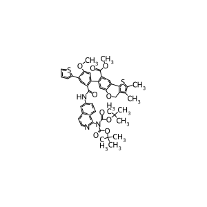 COC(=O)c1cc2c(cc1-c1cc(OC)c(-c3cccs3)cc1C(=O)Nc1ccc3c(N(C(=O)OC(C)(C)C)C(=O)OC(C)(C)C)nccc3c1)OCc1c-2sc(C)c1C